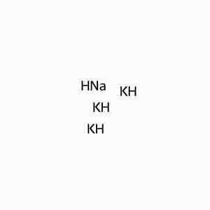 [KH].[KH].[KH].[NaH]